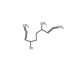 C=C=CC(C)CCC(C=C=C)CC